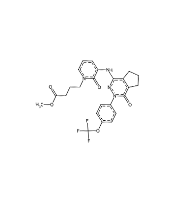 COC(=O)CCCn1cccc(Nc2nn(-c3ccc(OC(F)(F)F)cc3)c(=O)c3c2CCC3)c1=O